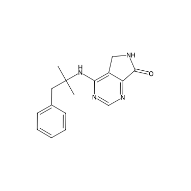 CC(C)(Cc1ccccc1)Nc1ncnc2c1CNC2=O